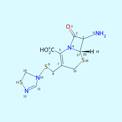 NC1C(=O)N2C(C(=O)O)=C(CSN3C=NSC3)CS[C@@H]12